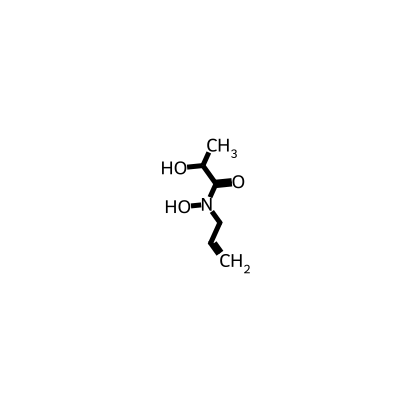 C=CCN(O)C(=O)C(C)O